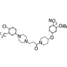 CC(C)COc1cc(OC2CCN(C(=O)CCN3CCN(c4ccc(Cl)c(C(F)(F)F)c4)CC3)CC2)ccc1[N+](=O)[O-]